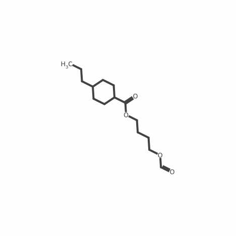 CCCC1CCC(C(=O)OCCCCOC=O)CC1